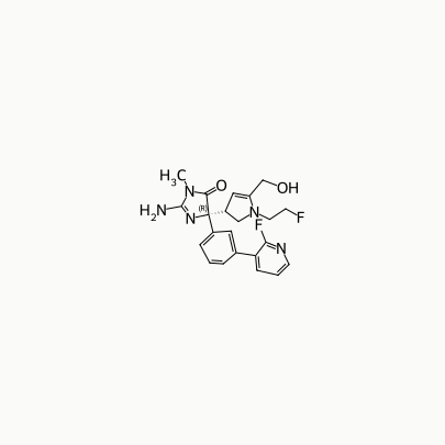 CN1C(=O)[C@](c2cccc(-c3cccnc3F)c2)(C2C=C(CO)N(CCF)C2)N=C1N